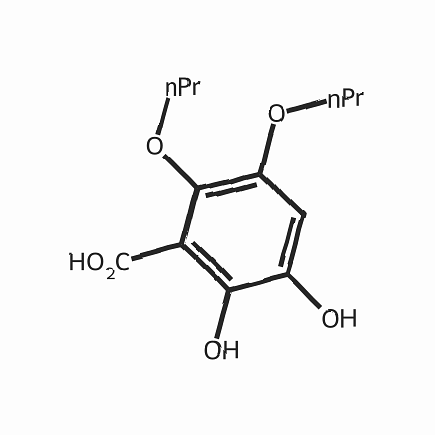 CCCOc1cc(O)c(O)c(C(=O)O)c1OCCC